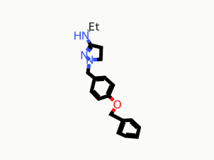 CCNC1=NN(Cc2ccc(OCc3ccccc3)cc2)CC1